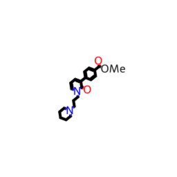 COC(=O)c1ccc(-c2cccn(CCCN3CCCCC3)c2=O)cc1